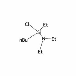 CCCC[Si](Cl)(CC)N(CC)CC